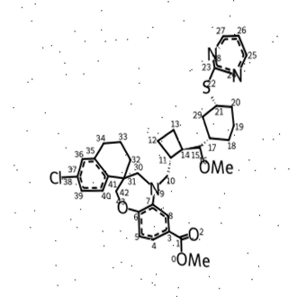 COC(=O)c1ccc2c(c1)N(C[C@@H]1CC[C@H]1C(OC)[C@H]1CCC[C@@H](Sc3ncccn3)C1)CC1(CCCc3cc(Cl)ccc31)CO2